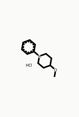 COC1CCN(c2ccccc2)CC1.Cl